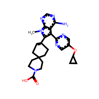 Cn1c(C2=CCC3(CC2)CCN(C(=O)O)CC3)c(-c2ncc(OC3CC3)cn2)c2c(N)ncnc21